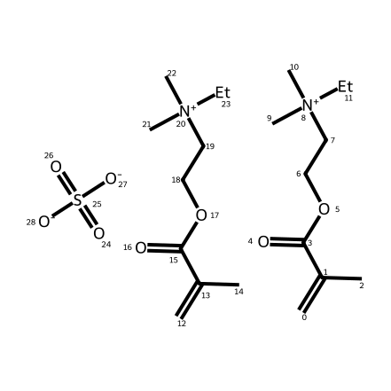 C=C(C)C(=O)OCC[N+](C)(C)CC.C=C(C)C(=O)OCC[N+](C)(C)CC.O=S(=O)([O-])[O-]